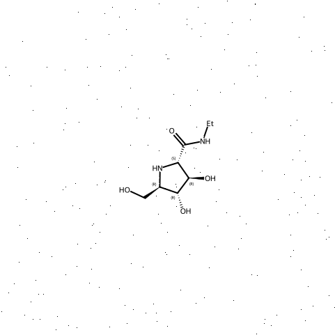 CCNC(=O)[C@H]1N[C@H](CO)[C@@H](O)[C@@H]1O